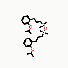 CC(C)Oc1ccccc1CCC[Si](C)(C)O[Si](C)(C)CCCc1ccccc1OC(C)C